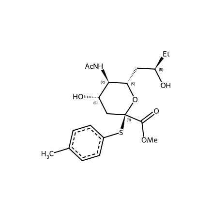 CC[C@@H](O)C[C@@H]1O[C@](Sc2ccc(C)cc2)(C(=O)OC)C[C@H](O)[C@H]1NC(C)=O